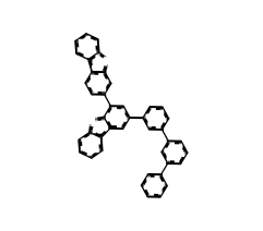 c1ccc(-c2cccc(-c3cccc(-c4cc(-c5ccc6c(c5)sc5ccccc56)c5oc6ccccc6c5c4)c3)c2)cc1